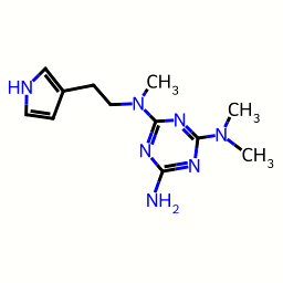 CN(C)c1nc(N)nc(N(C)CCc2cc[nH]c2)n1